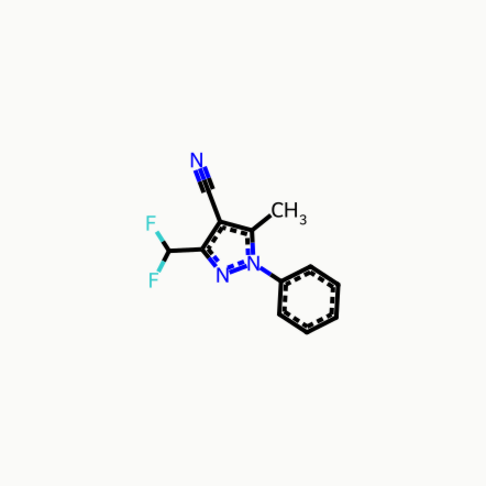 Cc1c(C#N)c(C(F)F)nn1-c1ccccc1